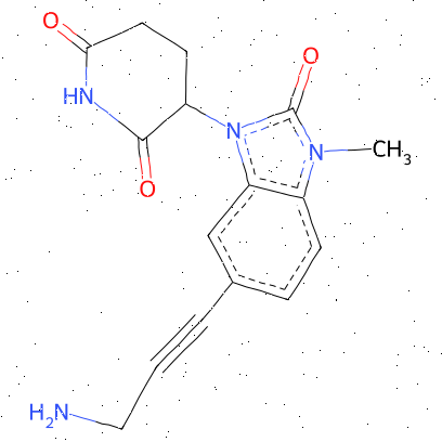 Cn1c(=O)n(C2CCC(=O)NC2=O)c2cc(C#CCN)ccc21